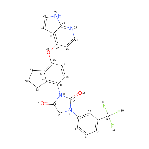 O=C1CN(c2cccc(C(F)(F)F)c2)C(=O)N1c1ccc(Oc2ccnc3[nH]ccc23)c2c1CCC2